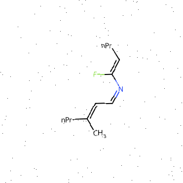 CCC/C=C(F)/N=C\C=C(/C)CCC